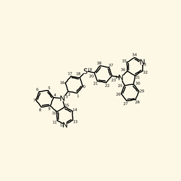 C1=CC(n2c3ccccc3c3cnccc32)CC=C1Sc1ccc(-n2c3ccccc3c3cnccc32)cc1